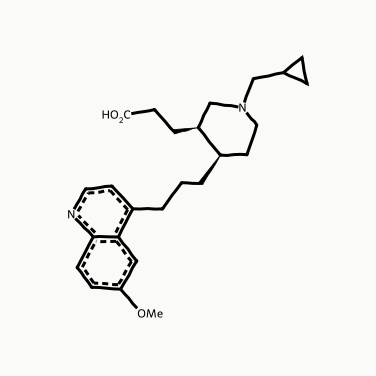 COc1ccc2nccc(CCC[C@@H]3CCN(CC4CC4)C[C@@H]3CCC(=O)O)c2c1